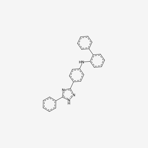 c1ccc(-c2nc(-c3ccc(Nc4ccccc4-c4ccccc4)cc3)n[nH]2)cc1